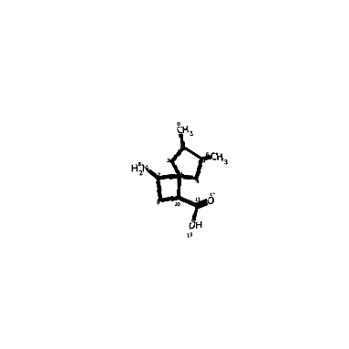 CC1CC2(CC1C)C(N)CC2C(=O)O